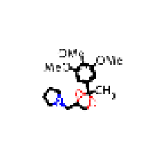 COc1cc(C2(C)OCC(CN3CCCC3)O2)cc(OC)c1OC